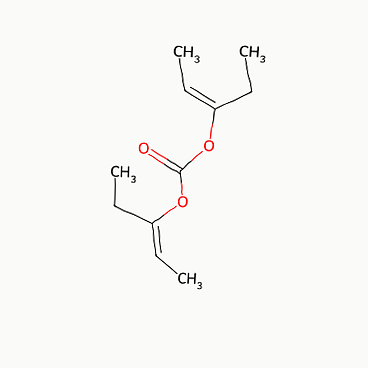 CC=C(CC)OC(=O)OC(=CC)CC